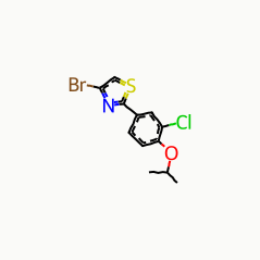 CC(C)Oc1ccc(-c2nc(Br)cs2)cc1Cl